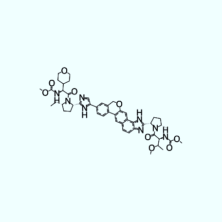 CC[C@H]1CC[C@@H](c2ncc(-c3ccc4c(c3)COc3cc5c(ccc6nc([C@@H]7CC[C@H](C)N7C(=O)[C@@H](NC(=O)OC)C(C)OC)[nH]c65)cc3-4)[nH]2)N1C(=O)[C@@H](NC(=O)OC)C1CCOCC1